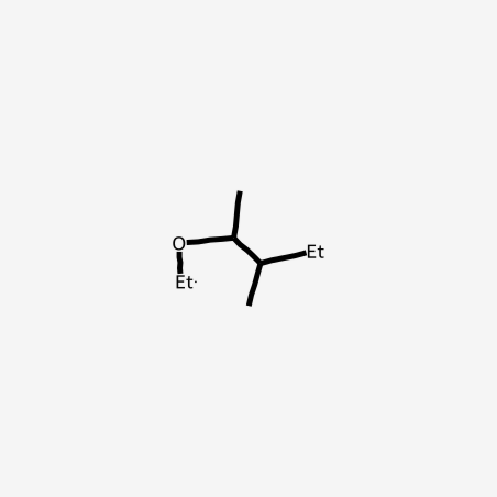 C[CH]OC(C)C(C)CC